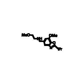 COCCNCc1cc(OC)c2oc(C(C)C)nc2c1